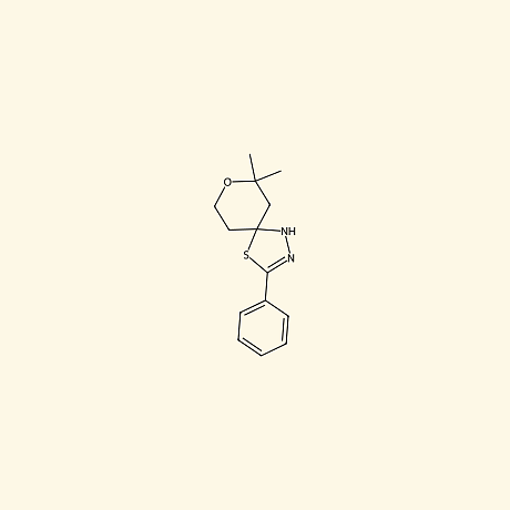 CC1(C)CC2(CCO1)NN=C(c1ccccc1)S2